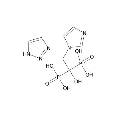 O=P(O)(O)C(O)(Cn1ccnc1)P(=O)(O)O.c1c[nH]nn1